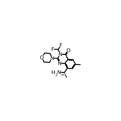 Cc1cc([C@@H](C)N)c2nc(N3CCOCC3)n(C(F)F)c(=O)c2c1